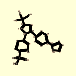 O=S(=O)(O)c1ccc(-n2nc(C(F)(F)F)cc2-c2ccc(-c3ccco3)cc2)cn1